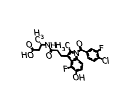 Cc1c(CCC(=O)N[C@@H](C)CC(=O)O)c2c(F)c(O)ccc2n1C(=O)c1ccc(Cl)c(F)c1